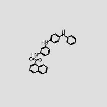 O=S(=O)(Nc1cccc(Nc2ccc(Nc3ccccc3)cc2)c1)c1cccc2ccccc12